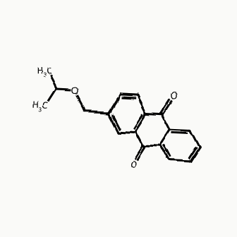 CC(C)OCc1ccc2c(c1)C(=O)c1ccccc1C2=O